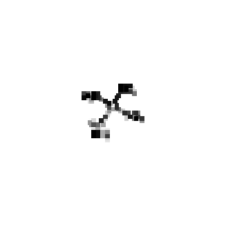 O=[N+]([O-])[Co-]([N+](=O)[O-])([N+](=O)[O-])[N+](=O)[O-].[NH4+]